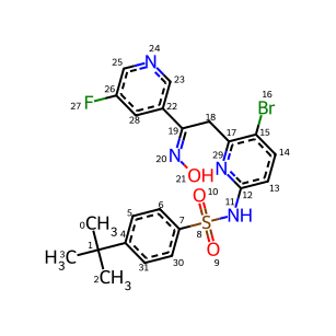 CC(C)(C)c1ccc(S(=O)(=O)Nc2ccc(Br)c(C/C(=N\O)c3cncc(F)c3)n2)cc1